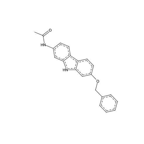 CC(=O)Nc1ccc2c(c1)[nH]c1cc(OCc3ccccc3)ccc12